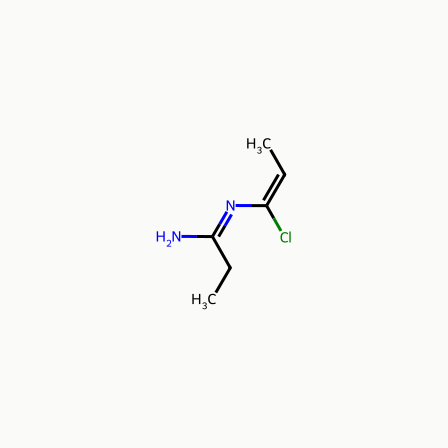 C/C=C(Cl)\N=C(\N)CC